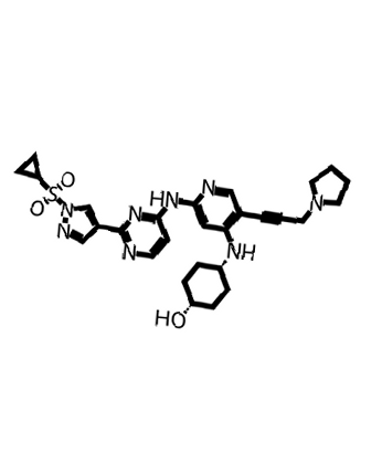 O=S(=O)(C1CC1)n1cc(-c2nccc(Nc3cc(N[C@H]4CC[C@@H](O)CC4)c(C#CCN4CCCC4)cn3)n2)cn1